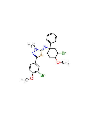 COc1ccc(-c2nn(C)c(=NC3(c4ccccc4)CCC(OC)C(Br)C3)s2)cc1Br